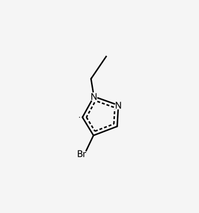 CCn1[c]c(Br)cn1